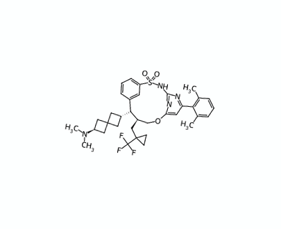 Cc1cccc(C)c1-c1cc2nc(n1)NS(=O)(=O)c1cccc(c1)C([C@H]1CC3(C1)C[C@H](N(C)C)C3)[C@H](CC1(C(F)(F)F)CC1)CO2